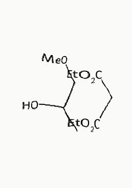 CCOC(=O)CC(=O)OCC.COCC(C)O